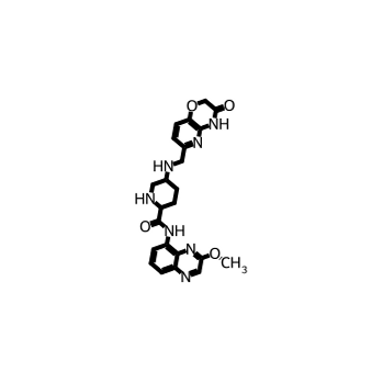 COc1cnc2cccc(NC(=O)C3CCC(NCc4ccc5c(n4)NC(=O)CO5)CN3)c2n1